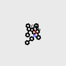 CC1(C)c2ccc(N(c3ccc(-c4ccccc4)cc3)c3ccccc3-c3ccc(-c4ccccc4)cc3)cc2-c2c(-c3ccccc3)cc3ccccc3c21